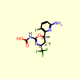 C[C@]1(c2nc(N)ccc2F)OC(NC(=O)O)=N[C@H](C(F)(F)F)[C@H]1F